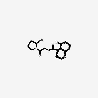 N#CC1CCCN1C(=O)CNC(=O)c1ccnc2cccc(Cl)c12